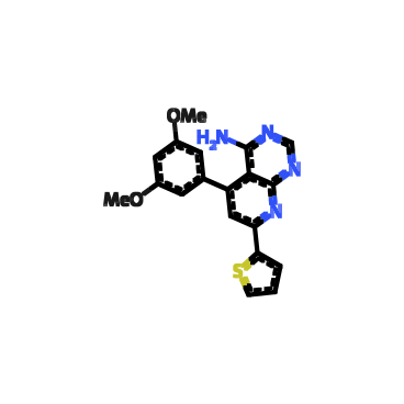 COc1cc(OC)cc(-c2cc(-c3cccs3)nc3ncnc(N)c23)c1